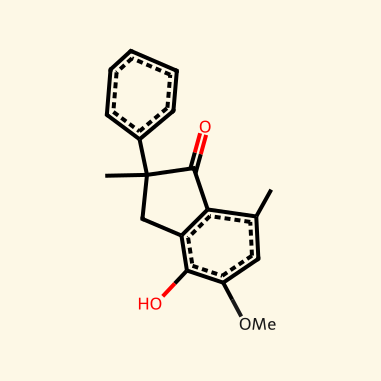 COc1cc(C)c2c(c1O)CC(C)(c1ccccc1)C2=O